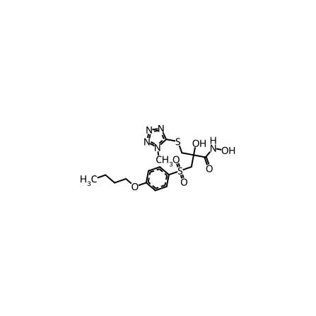 CCCCOc1ccc(S(=O)(=O)CC(O)(CSc2nnnn2C)C(=O)NO)cc1